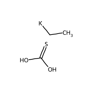 C[CH2][K].OC(O)=S